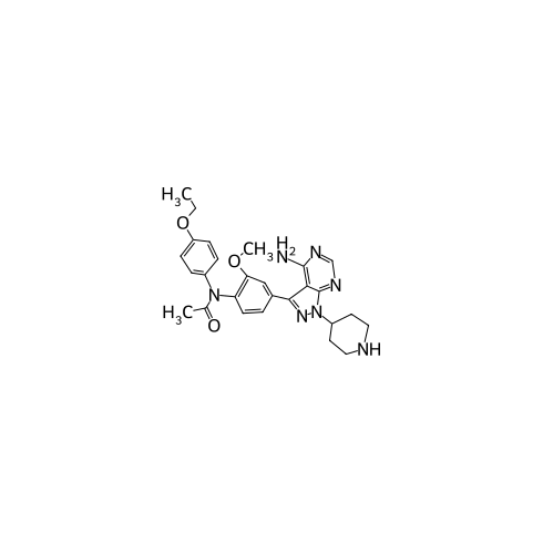 CCOc1ccc(N(C(C)=O)c2ccc(-c3nn(C4CCNCC4)c4ncnc(N)c34)cc2OC)cc1